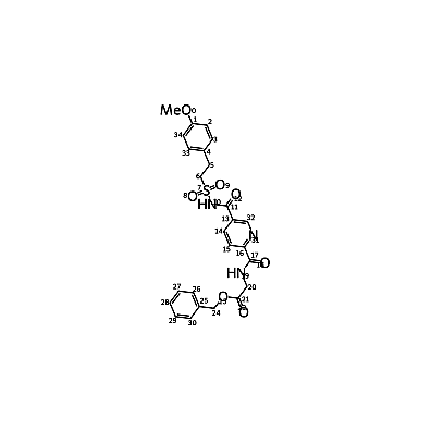 COc1ccc(CCS(=O)(=O)NC(=O)c2ccc(C(=O)NCC(=O)OCc3ccccc3)nc2)cc1